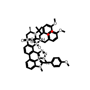 COc1ccc(CN(Cc2ccc(OC)cc2)S(=O)(=O)c2c(S(=O)(=O)C[C@@H](C)N(C(=O)O)C(C)(C)C)ccc(-c3cccc4c3nc(N)n4C)c2-c2nnn(Cc3ccc(OC)cc3)n2)cc1